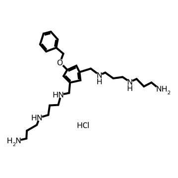 Cl.NCCCNCCCNCc1cc(CNCCCNCCCN)cc(OCc2ccccc2)c1